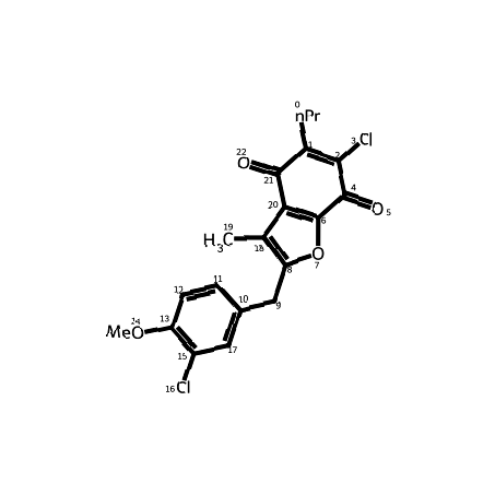 CCCC1=C(Cl)C(=O)c2oc(Cc3ccc(OC)c(Cl)c3)c(C)c2C1=O